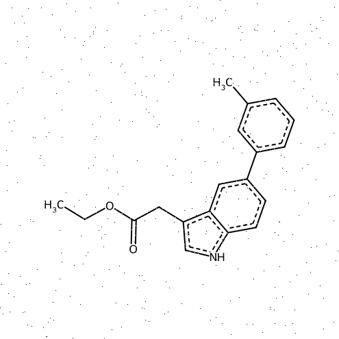 CCOC(=O)Cc1c[nH]c2ccc(-c3cccc(C)c3)cc12